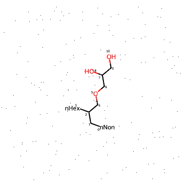 CCCCCCCCCCC(CCCCCC)COCC(O)CO